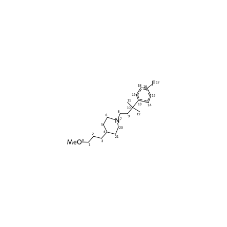 COCCCC1CCN(CCC(C)(C)c2ccc(F)cc2)CC1